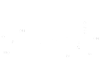 O=C(O)C(CCCCCCP(=O)(O)O)N(Br)Br